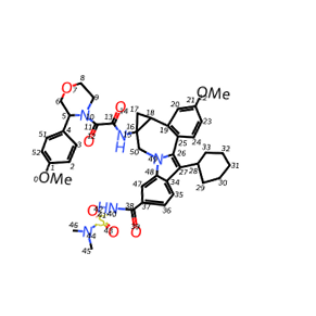 COc1ccc(C2COCCN2C(=O)C(=O)NC23CC2c2cc(OC)ccc2-c2c(C4CCCCC4)c4ccc(C(=O)NS(=O)(=O)N(C)C)cc4n2C3)cc1